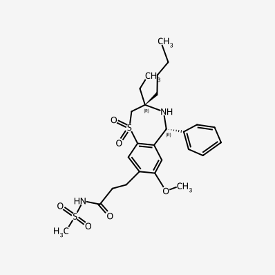 CCCC[C@]1(CC)CS(=O)(=O)c2cc(CCC(=O)NS(C)(=O)=O)c(OC)cc2[C@@H](c2ccccc2)N1